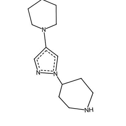 c1nn(C2CCNCC2)cc1N1CCCCC1